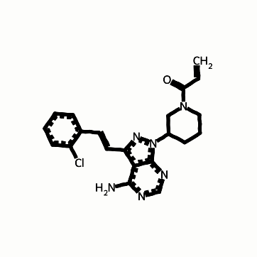 C=CC(=O)N1CCCC(n2nc(C=Cc3ccccc3Cl)c3c(N)ncnc32)C1